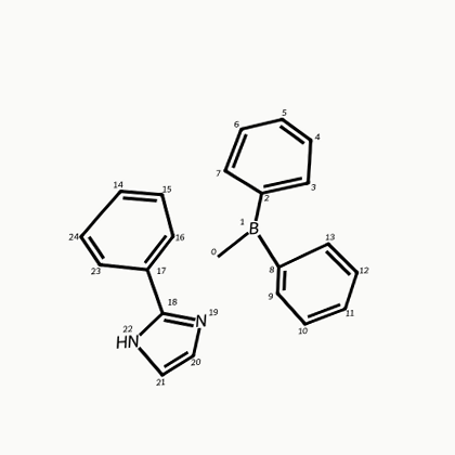 CB(c1ccccc1)c1ccccc1.c1ccc(-c2ncc[nH]2)cc1